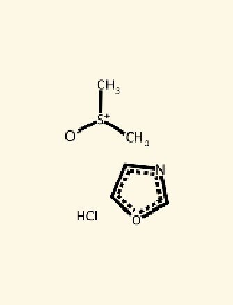 C[S+](C)[O-].Cl.c1cocn1